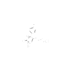 O=c1nc(-c2ccc(F)cc2)c(CCCCCl)c[nH]1